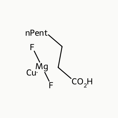 CCCCCCCC(=O)O.[Cu].[F][Mg][F]